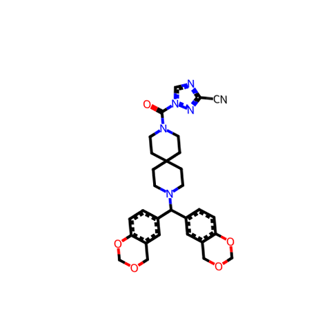 N#Cc1ncn(C(=O)N2CCC3(CC2)CCN(C(c2ccc4c(c2)COCO4)c2ccc4c(c2)COCO4)CC3)n1